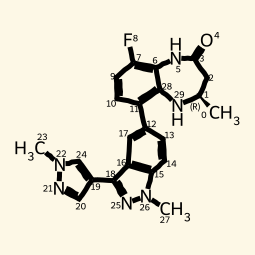 C[C@@H]1CC(=O)Nc2c(F)ccc(-c3ccc4c(c3)c(-c3cnn(C)c3)nn4C)c2N1